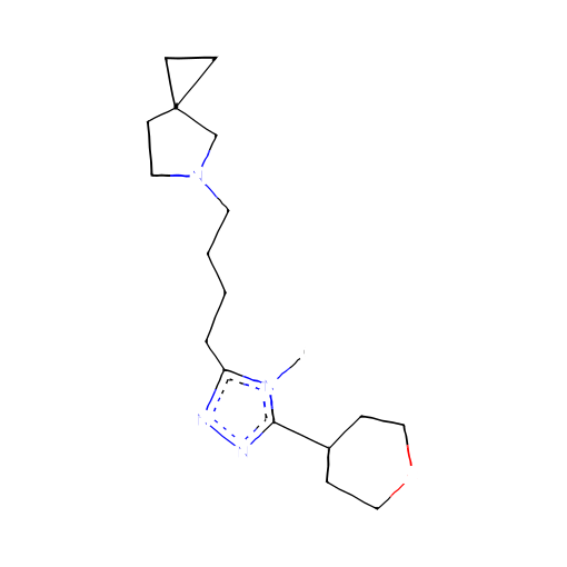 Cn1c(CCCCN2CCC3(CC3)C2)nnc1C1CCOCC1